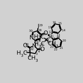 CC1(C)CC(=O)N(c2cc(O[Si](c3ccccc3)(c3ccccc3)C(C)(C)C)c(I)cn2)C1=O